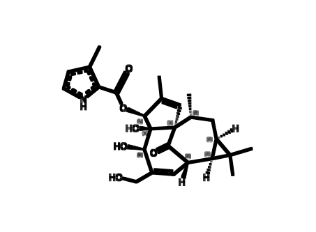 CC1=C[C@]23C(=O)[C@@H](C=C(CO)[C@@H](O)[C@]2(O)[C@H]1OC(=O)c1[nH]ccc1C)[C@H]1[C@@H](C[C@H]3C)C1(C)C